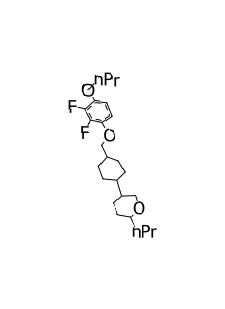 CCCOc1ccc(OCC2CCC(C3CCC(CCC)OC3)CC2)c(F)c1F